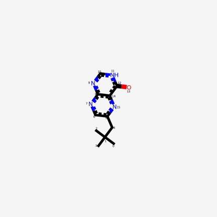 CC(C)(C)Cc1cnc2nc[nH]c(=O)c2n1